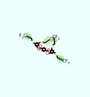 Cc1cc(CSCCC(F)(F)C(F)(F)C(F)(F)C(F)(F)F)cc(CSCCC(F)(F)C(F)(F)C(F)(F)C(F)(F)F)c1OC(=O)c1ccc(C(=O)Oc2c(C)cc(CSCCC(F)(F)C(F)(F)C(F)(F)C(F)(F)F)cc2CSCCC(F)(F)C(F)(F)C(F)(F)C(F)(F)F)cc1